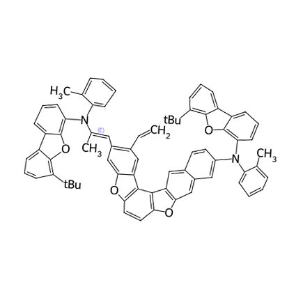 C=Cc1cc2c(cc1/C=C(\C)N(c1ccccc1C)c1cccc3c1oc1c(C(C)(C)C)cccc13)oc1ccc3oc4cc5cc(N(c6ccccc6C)c6cccc7c6oc6c(C(C)(C)C)cccc67)ccc5cc4c3c12